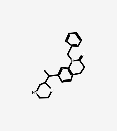 CC(c1ccc2c(c1)N(Cc1ccccc1)C(=O)CC2)C1CNCCO1